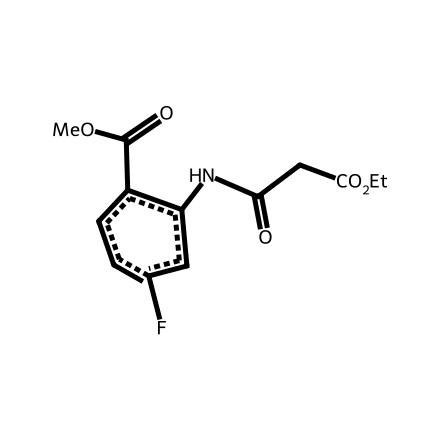 CCOC(=O)CC(=O)Nc1cc(F)ccc1C(=O)OC